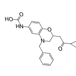 O=C(O)Nc1ccc2c(c1)N(Cc1ccccc1)CC(CC(=O)C1CC1)O2